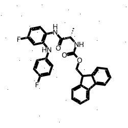 C[C@H](NC(=O)OCC1c2ccccc2-c2ccccc21)C(=O)Nc1ccc(F)cc1Nc1ccc(F)cc1